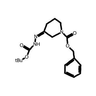 CC(C)(C)OC(=O)N/N=C1/CCCN(C(=O)OCc2ccccc2)C1